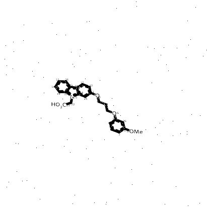 COc1cccc(OCCCOc2ccc3c4ccccc4n(CC(=O)O)c3c2)c1